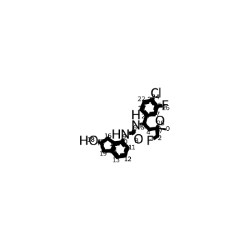 C[C@@]1(CF)C[C@@H](NC(=O)Nc2cccc3c2C[C@H](O)C3)c2ccc(Cl)c(F)c2O1